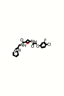 O=C(COc1ccc(Cl)c(F)c1)NC12CC(C(=O)NCc3cn4ccccc4n3)(C1)C2